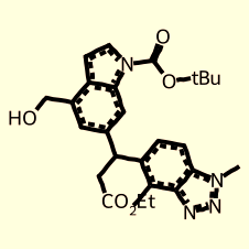 CCOC(=O)CC(c1cc(CO)c2ccn(C(=O)OC(C)(C)C)c2c1)c1ccc2c(nnn2C)c1C